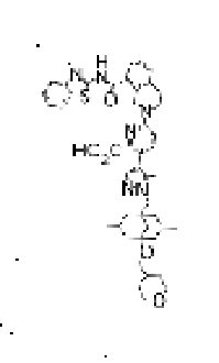 Cc1c(-c2ccc(N3CCc4cccc(C(=O)Nc5nc6ccccc6s5)c4C3)nc2C(=O)O)cnn1CC12CC(C)CC(OCC3CCOCC3)(CC(C)C1)C2